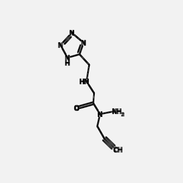 C#CCN(N)C(=O)CNCc1nnn[nH]1